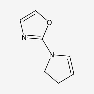 C1=CN(c2ncco2)CC1